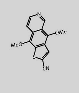 COc1c2cnccc2c(OC)c2sc(C#N)cc12